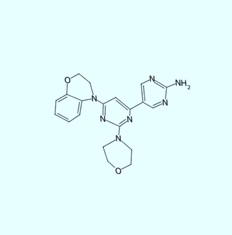 Nc1ncc(-c2cc(N3CCOc4ccccc43)nc(N3CCOCC3)n2)cn1